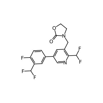 O=C1OCCN1Cc1cc(-c2ccc(F)c(C(F)F)c2)cnc1C(F)F